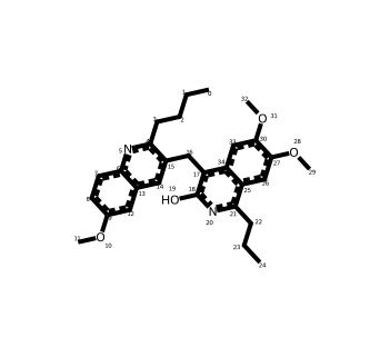 CCCCc1nc2ccc(OC)cc2cc1Cc1c(O)nc(CCC)c2cc(OC)c(OC)cc12